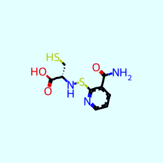 NC(=O)c1cccnc1SN[C@@H](CS)C(=O)O